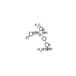 Nc1n[nH]c2ncc(-c3ccc(CNc4ncc(C(F)(F)F)cc4C(=O)NCc4cccc(Cl)c4)cc3)cc12